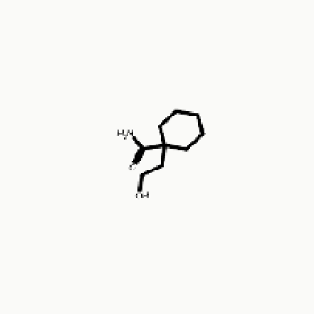 NC(=O)C1([CH]CO)CCCCC1